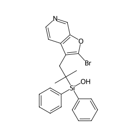 CC(C)(Cc1c(Br)oc2cnccc12)[Si](O)(c1ccccc1)c1ccccc1